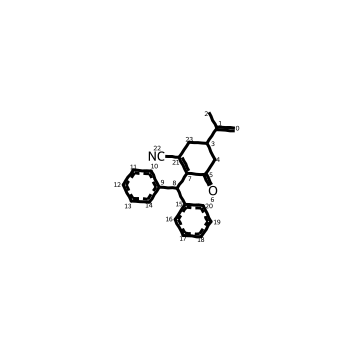 C=C(C)C1CC(=O)C(C(c2ccccc2)c2ccccc2)=C(C#N)C1